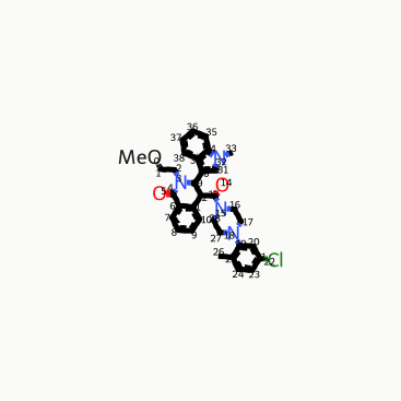 COCCN1C(=O)c2ccccc2C(C(=O)N2CCN(c3cc(Cl)ccc3C)CC2)C1c1cn(C)c2ccccc12